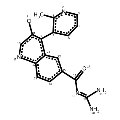 Cc1ncccc1-c1c(Cl)cnc2ccc(C(=O)N=C(N)N)cc12